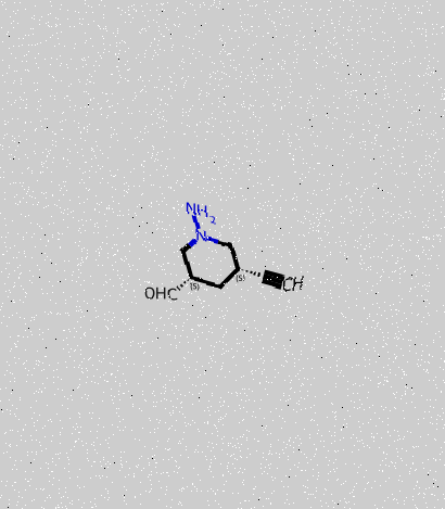 C#C[C@@H]1C[C@H](C=O)CN(N)C1